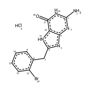 Cl.Nc1nc2nc(Cc3ccccc3Br)[nH]c2c(=O)[nH]1